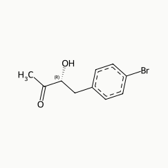 CC(=O)[C@H](O)Cc1ccc(Br)cc1